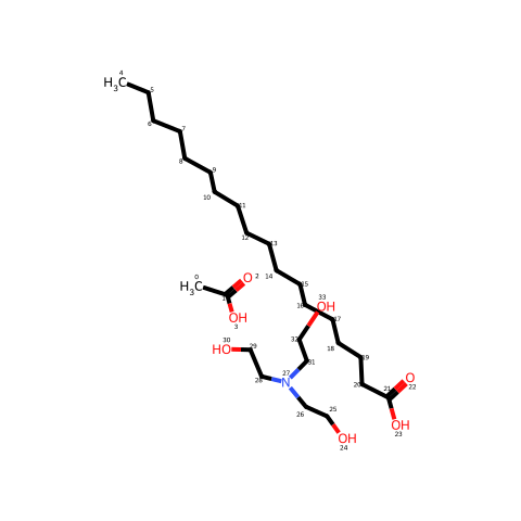 CC(=O)O.CCCCCCCCCCCCCCCCCC(=O)O.OCCN(CCO)CCO